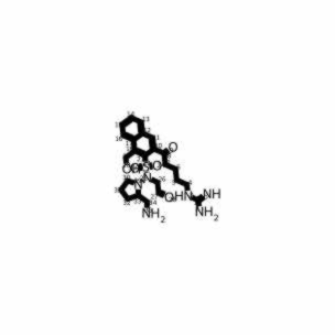 N=C(N)NCCCCC(=O)c1cc2ccccc2c(CO)c1S(=O)(=O)N(CC=O)N1CCCC1CN